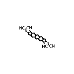 N#CC(C#N)=Cc1cc2cc3cc4cc5sc(C=C(C#N)C#N)cc5cc4cc3cc2s1